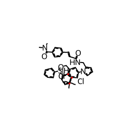 CN(C)C(=O)c1ccc(C=CC(=O)NCc2cccn2-c2cc(CO[SiH](c3ccccc3)c3ccccc3)c(Cl)c(C(C)(C)C)c2Cl)cc1